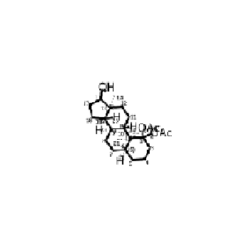 CC(=O)OC1(OC(C)=O)CCC[C@H]2CC[C@@H]3[C@H](CC[C@]4(C)C(O)CC[C@@H]34)[C@]21C